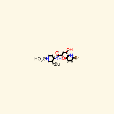 CC(C)(C)C1CN(C(=O)O)CCC1NC(=O)C(CCO)Oc1ccc(Br)nc1